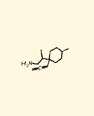 C=C=CC1(C(C)CN)CCC(C)CC1